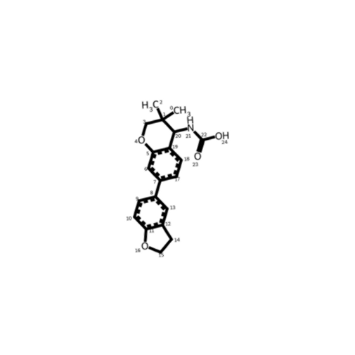 CC1(C)COc2cc(-c3ccc4c(c3)CCO4)ccc2C1NC(=O)O